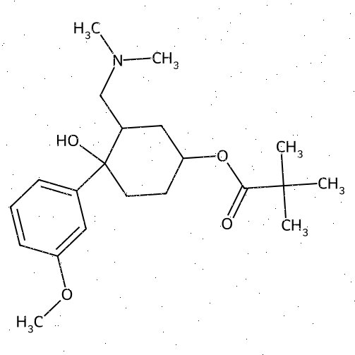 COc1cccc(C2(O)CCC(OC(=O)C(C)(C)C)CC2CN(C)C)c1